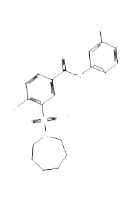 O=C(Nc1cccc([N+](=O)[O-])c1)c1ccc(Br)c(S(=O)(=O)N2CCCCCC2)c1